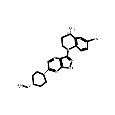 C[C@H]1CCN(c2n[nH]c3nc([C@H]4CC[C@@H](CN)CC4)cnc23)c2ccc(C#N)cc21